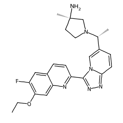 CCOc1cc2nc(-c3nnc4ccc([C@@H](C)N5CC[C@@](C)(N)C5)cn34)ccc2cc1F